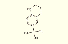 OC(c1ccc2c(c1)SCCN2)(C(F)(F)F)C(F)(F)F